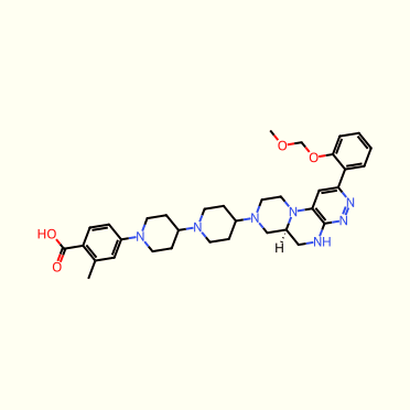 COCOc1ccccc1-c1cc2c(nn1)NC[C@H]1CN(C3CCN(C4CCN(c5ccc(C(=O)O)c(C)c5)CC4)CC3)CCN21